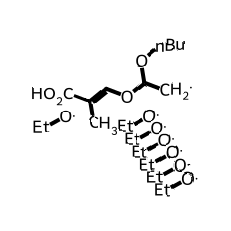 [CH2]C(OC=C(C)C(=O)O)OCCCC.[CH2]C[O].[CH2]C[O].[CH2]C[O].[CH2]C[O].[CH2]C[O].[CH2]C[O].[CH2]C[O]